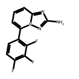 Nc1nc2cccc(-c3ccc(F)c(F)c3F)n2n1